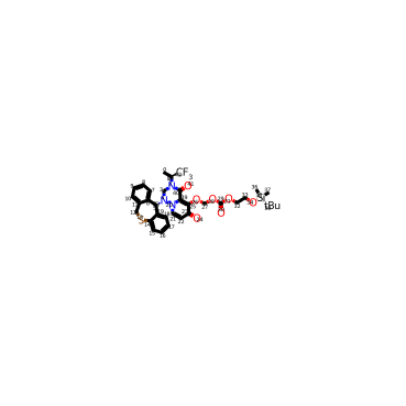 C[C@H](N1CN([C@H]2c3ccccc3CSc3ccccc32)n2ccc(=O)c(OCOC(=O)OCCO[Si](C)(C)C(C)(C)C)c2C1=O)C(F)(F)F